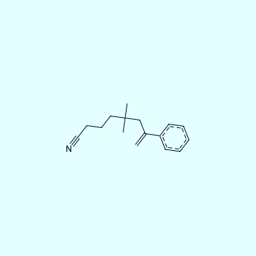 C=C(CC(C)(C)CCCC#N)c1ccccc1